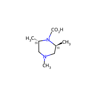 C[C@H]1CN(C)C[C@H](C)N1C(=O)O